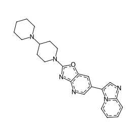 c1ccn2c(-c3cnc4nc(N5CCC(N6CCCCC6)CC5)oc4c3)cnc2c1